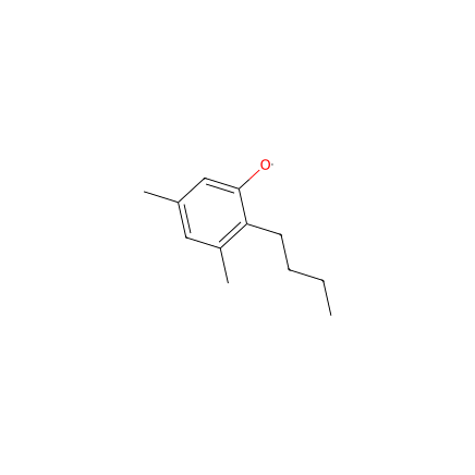 CCCCc1c(C)cc(C)cc1[O]